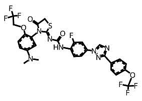 CN(C)c1ccc(OCC(F)(F)F)c(N2C(=O)CS/C2=N\C(=O)Nc2ccc(-n3cnc(-c4ccc(OC(F)(F)F)cc4)n3)cc2F)c1